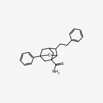 NC(=S)C12CC3CC(c4ccccc4)(CC1C3CCc1ccccc1)C2